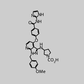 COc1ccc(Cn2nc(NC3CCN(C(=O)O)C3)c3c(Oc4ccc(C(=O)Nc5ncc[nH]5)cc4)ccnc32)cc1